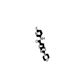 O=C(Nc1ccc(F)nc1)c1cc2sc(N3CCOCC3)nc2s1